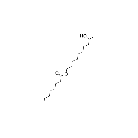 CCCCCCCC(=O)OCCCCCCCCC(C)O